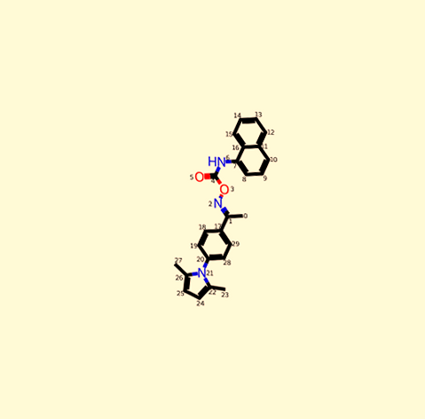 C/C(=N\OC(=O)Nc1cccc2ccccc12)c1ccc(-n2c(C)ccc2C)cc1